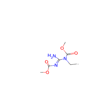 [CH2]CN(C(=O)OC)C(N)=NC(=O)OC